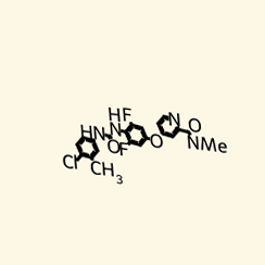 CNC(=O)c1cc(Oc2cc(F)c(NC(=O)Nc3ccc(Cl)c(C)c3)c(F)c2)ccn1